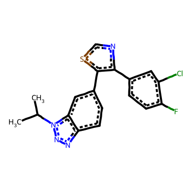 CC(C)n1nnc2ccc(-c3scnc3-c3ccc(F)c(Cl)c3)cc21